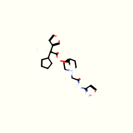 O=C(C[N+]12CCC(CC1)C(OC(=O)[C@](O)(c1ccoc1)C1CCCC1)C2)Nc1ccon1